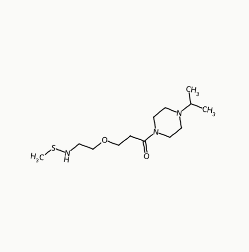 CSNCCOCCC(=O)N1CCN(C(C)C)CC1